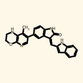 Cc1c(-c2ccc3c(c2)/C(=C/c2cc4ccccc4[nH]2)C(=O)N3)cnc2c1NCCO2